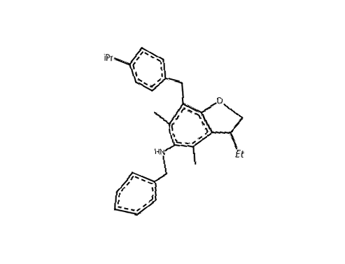 CCC1COc2c(Cc3ccc(C(C)C)cc3)c(C)c(NCc3ccccc3)c(C)c21